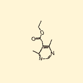 CCOC(=O)c1c(C)ncnc1C